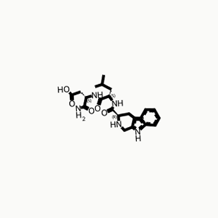 CC(C)C[C@H](NC(=O)[C@H]1Cc2c([nH]c3ccccc23)CN1)C(=O)N[C@@H](CC(=O)O)C(N)=O